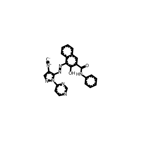 [C-]#[N+]c1cnn(-c2ccncn2)c1/N=N/c1c(O)c(C(=O)Nc2ccccc2)cc2ccccc12